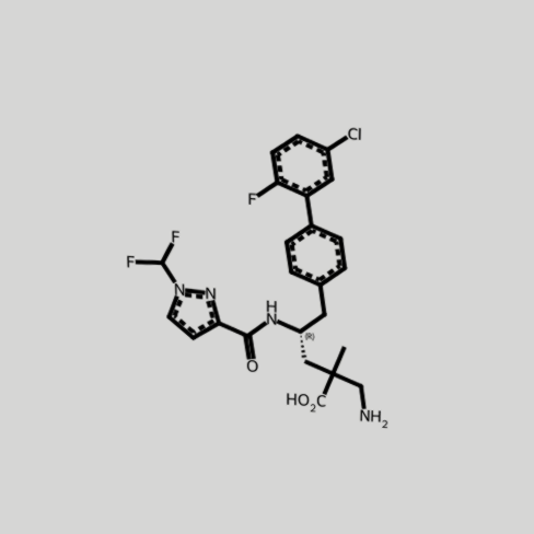 CC(CN)(C[C@@H](Cc1ccc(-c2cc(Cl)ccc2F)cc1)NC(=O)c1ccn(C(F)F)n1)C(=O)O